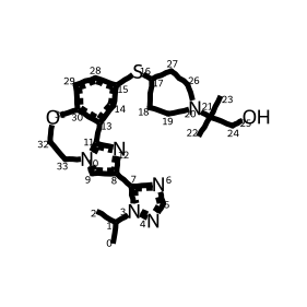 CC(C)n1ncnc1-c1cn2c(n1)-c1cc(SC3CCN(C(C)(C)CO)CC3)ccc1OCC2